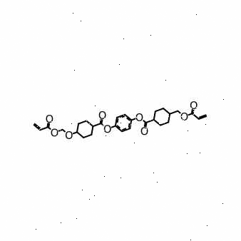 C=CC(=O)OCOC1CCC(C(=O)Oc2ccc(OC(=O)C3CCC(COC(=O)C=C)CC3)cc2)CC1